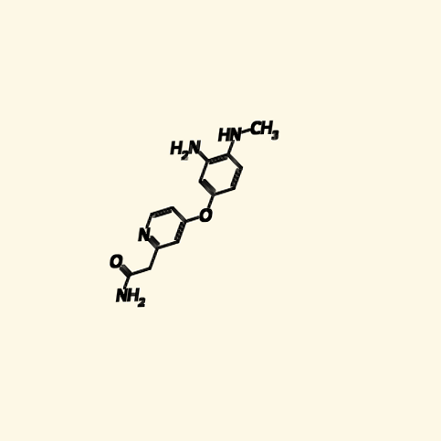 CNc1ccc(Oc2ccnc(CC(N)=O)c2)cc1N